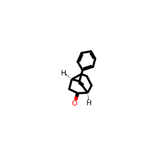 O=C1C[C@H]2CCC[C@@H]1C=C2c1ccccc1